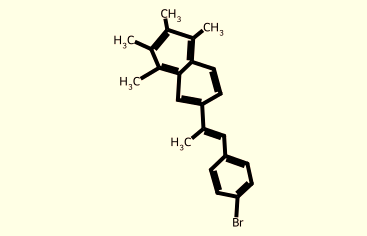 C/C(=C\c1ccc(Br)cc1)c1ccc2c(C)c(C)c(C)c(C)c2c1